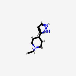 CCN1CCC(c2ccn[nH]2)CC1